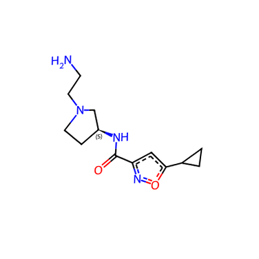 NCCN1CC[C@H](NC(=O)c2cc(C3CC3)on2)C1